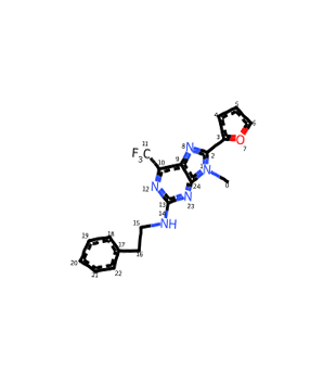 Cn1c(-c2ccco2)nc2c(C(F)(F)F)nc(NCCc3ccccc3)nc21